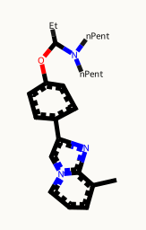 CCCCCN(CCCCC)C(CC)Oc1ccc(-c2cn3cccc(C)c3n2)cc1